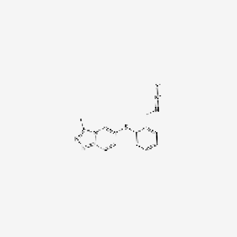 Cc1nnc2ccc(Sc3ccccc3CN=[N+]=[N-])cn12